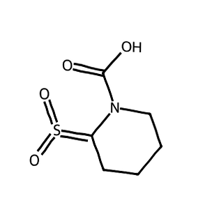 O=C(O)N1CCCCC1=S(=O)=O